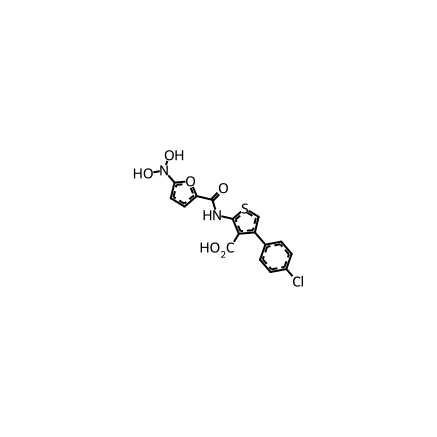 O=C(Nc1scc(-c2ccc(Cl)cc2)c1C(=O)O)c1ccc(N(O)O)o1